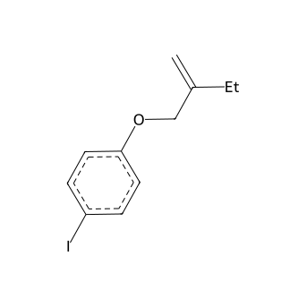 C=C(CC)COc1ccc(I)cc1